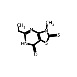 CCc1nc2c(sc(=S)n2C)c(=O)[nH]1